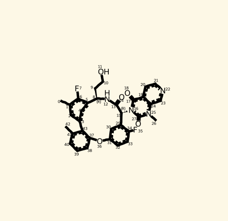 Cc1cc2cc(c1F)[C@@H](CCO)NC(=O)[C@H](n1c(=O)c3ccncc3n(C)c1=O)c1cc(ccc1F)Oc1cccc(C)c1-2